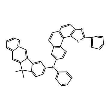 CC1(C)c2ccc(N(c3ccccc3)c3ccc4c(ccc5ccc6nc(-c7ccccc7)oc6c54)c3)cc2-c2cc3ccccc3cc21